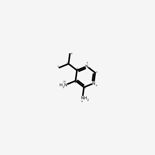 CC(C)c1ncnc(N)c1N